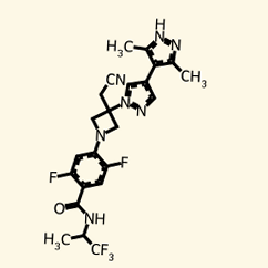 Cc1n[nH]c(C)c1-c1cnn(C2(CC#N)CN(c3cc(F)c(C(=O)NC(C)C(F)(F)F)cc3F)C2)c1